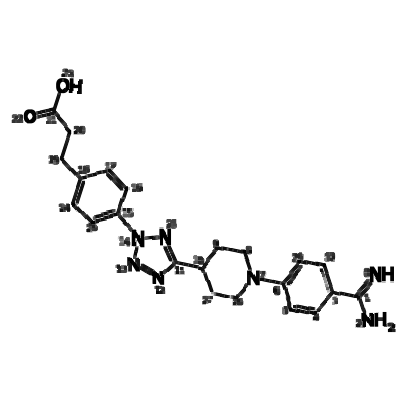 N=C(N)c1ccc(N2CCC(c3nnn(-c4ccc(CCC(=O)O)cc4)n3)CC2)cc1